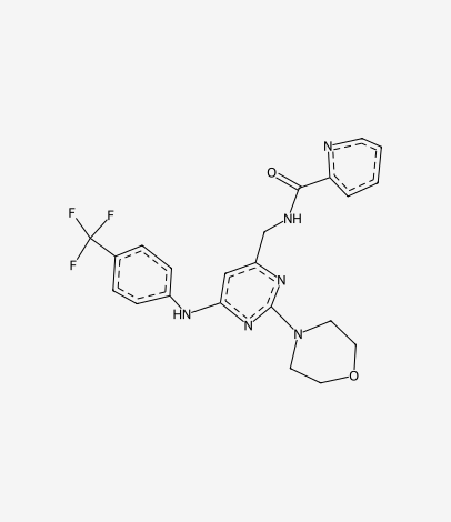 O=C(NCc1cc(Nc2ccc(C(F)(F)F)cc2)nc(N2CCOCC2)n1)c1ccccn1